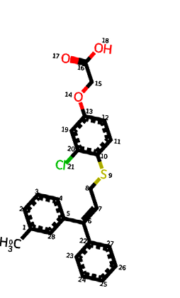 Cc1cccc(/C(=C\CSc2ccc(OCC(=O)O)cc2Cl)c2ccccc2)c1